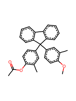 COc1ccc(C2(c3ccc(OC(C)=O)c(C)c3)c3ccccc3-c3ccccc32)cc1C